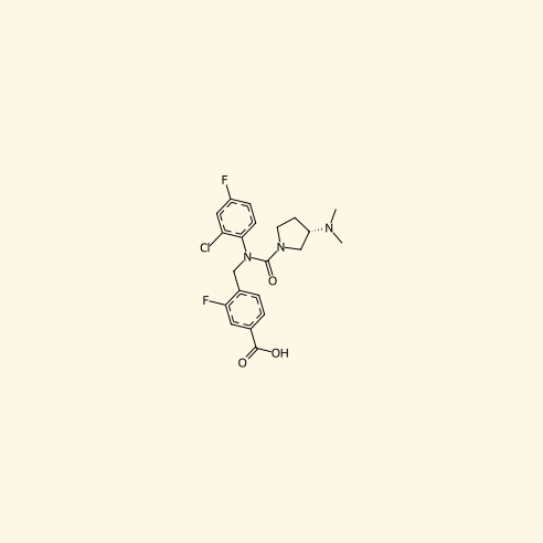 CN(C)[C@H]1CCN(C(=O)N(Cc2ccc(C(=O)O)cc2F)c2ccc(F)cc2Cl)C1